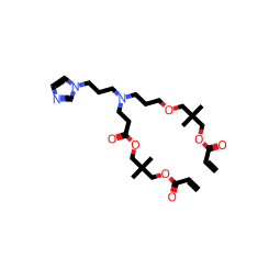 C=CC(=O)OCC(C)(C)COCCCN(CCCn1ccnc1)CCC(=O)OCC(C)(C)COC(=O)C=C